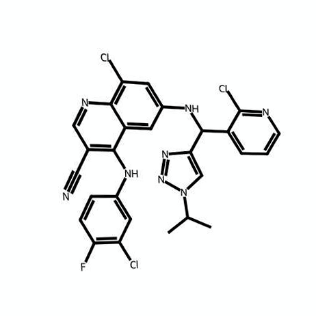 CC(C)n1cc(C(Nc2cc(Cl)c3ncc(C#N)c(Nc4ccc(F)c(Cl)c4)c3c2)c2cccnc2Cl)nn1